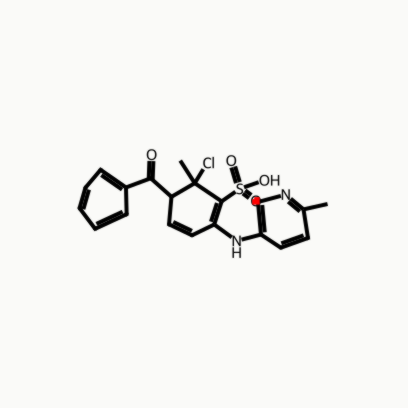 Cc1ccc(NC2=C(S(=O)(=O)O)C(C)(Cl)C(C(=O)c3ccccc3)C=C2)cn1